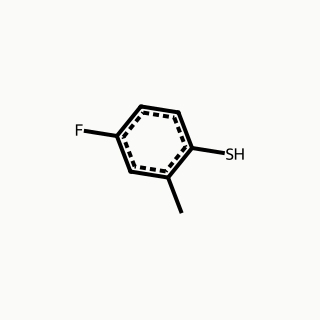 Cc1cc(F)ccc1S